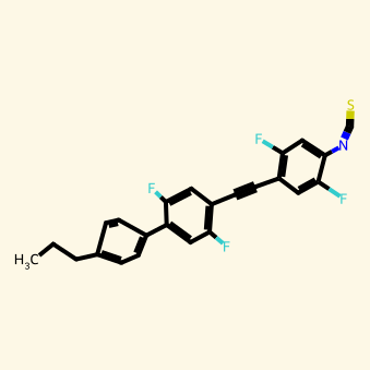 CCCc1ccc(-c2cc(F)c(C#Cc3cc(F)c(N=C=S)cc3F)cc2F)cc1